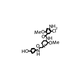 COc1cc(N)c(Cl)cc1C(=O)NC1CCN(CC(=O)Nc2ccc(O)cc2)CC1OC